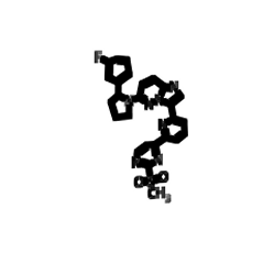 CS(=O)(=O)c1nccc(-c2cccc(-c3cnc4ccc(N5CCCC5c5cccc(F)c5)nn34)n2)n1